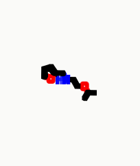 CC(C)OCCNCc1ccco1